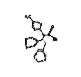 Cc1ccc(N([C@H](Cc2ccccc2)c2ccccc2)S(=O)O)cc1